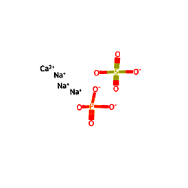 O=P([O-])([O-])[O-].O=S(=O)([O-])[O-].[Ca+2].[Na+].[Na+].[Na+]